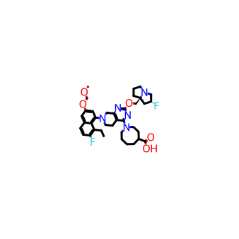 CCc1c(F)ccc2cc(OCOC)cc(N3CCc4c(nc(OC[C@@]56CCCN5C[C@H](F)C6)nc4N4CCCCC(C(=O)O)CC4)C3)c12